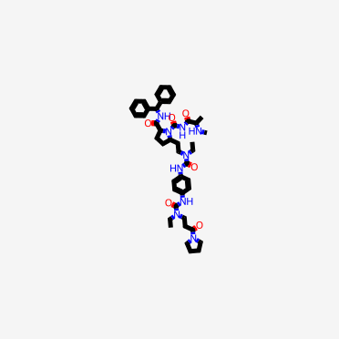 CCN(CCC(=O)N1CCCC1)C(=O)Nc1ccc(NC(=O)N(CC)CCC2CCC(C(=O)NC(c3ccccc3)c3ccccc3)N2C(=O)NC(=O)C(C)NC)cc1